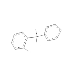 CCC(C)c1ccccc1C(C)(C)c1[c]cccc1